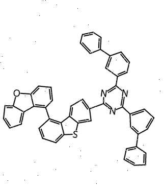 c1ccc(-c2cccc(-c3nc(-c4cccc(-c5ccccc5)c4)nc(-c4ccc5c(c4)sc4cccc(-c6cccc7oc8ccccc8c67)c45)n3)c2)cc1